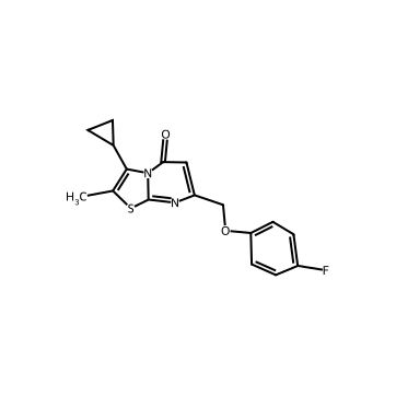 Cc1sc2nc(COc3ccc(F)cc3)cc(=O)n2c1C1CC1